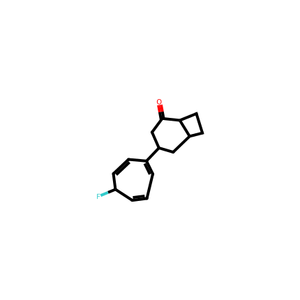 O=C1CC(C2=CC=CC(F)C=C2)CC2CCC12